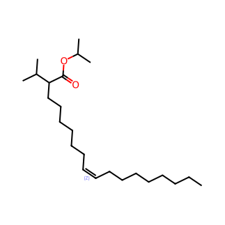 CCCCCCCC/C=C\CCCCCCC(C(=O)OC(C)C)C(C)C